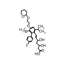 COc1c(OCCOC2CCCCO2)cc(C(C)C)c(C=CC(O)CC(O)CC(=O)O)c1-c1ccc(F)cc1